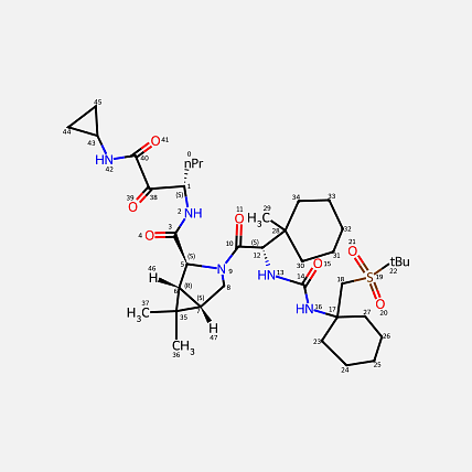 CCC[C@H](NC(=O)[C@@H]1[C@@H]2[C@H](CN1C(=O)[C@@H](NC(=O)NC1(CS(=O)(=O)C(C)(C)C)CCCCC1)C1(C)CCCCC1)C2(C)C)C(=O)C(=O)NC1CC1